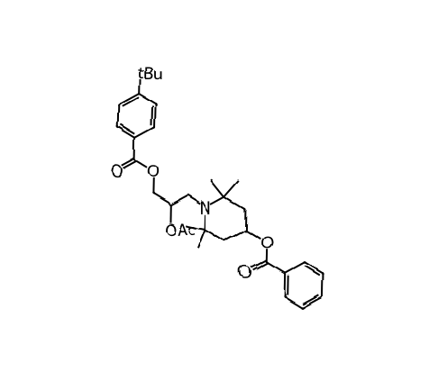 CC(=O)OC(COC(=O)c1ccc(C(C)(C)C)cc1)CN1C(C)(C)CC(OC(=O)c2ccccc2)CC1(C)C